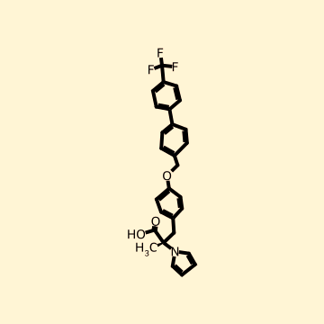 C[C@](Cc1ccc(OCc2ccc(-c3ccc(C(F)(F)F)cc3)cc2)cc1)(C(=O)O)n1cccc1